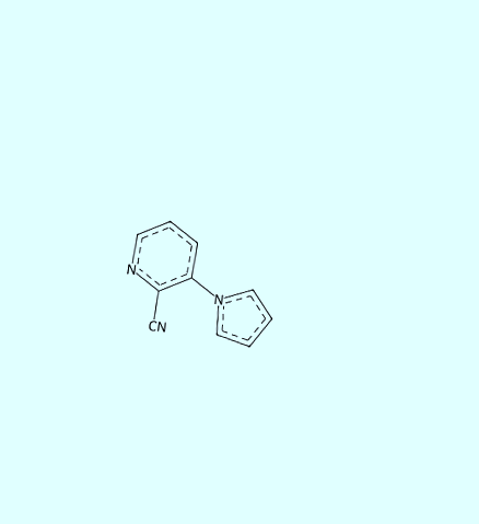 N#Cc1ncccc1-n1cccc1